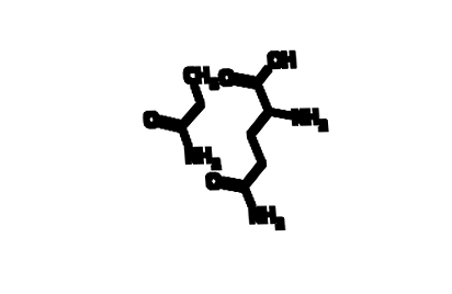 CCC(N)=O.NC(=O)CCC(N)C(=O)O